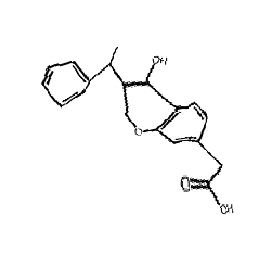 CC(c1ccccc1)C1COc2cc(CC(=O)O)ccc2C1O